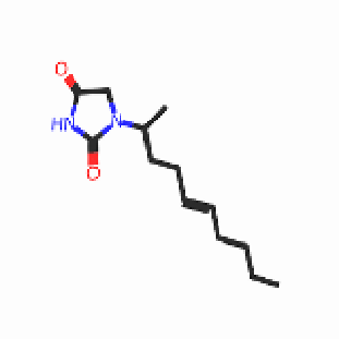 CCCCC=CCCC(C)N1CC(=O)NC1=O